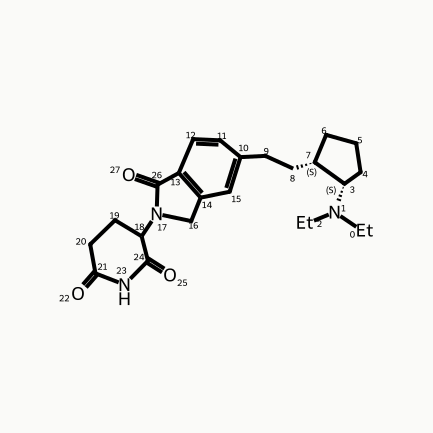 CCN(CC)[C@H]1CCC[C@H]1CCc1ccc2c(c1)CN(C1CCC(=O)NC1=O)C2=O